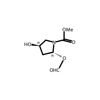 COC(=O)N1C[C@H](O)C[C@H]1OC=O